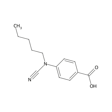 CCCCCN(C#N)c1ccc(C(=O)O)cc1